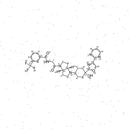 O=C(NCC(=O)N1CC[C@H]2[C@@H]1CCN2C1CCC(O)(c2nc(-c3ncccn3)co2)CC1)c1cccc(C(F)(F)F)c1